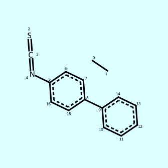 CC.S=C=Nc1ccc(-c2ccccc2)cc1